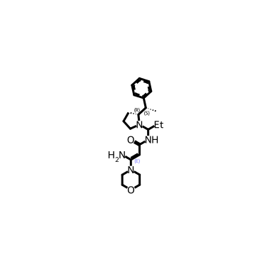 CCC(NC(=O)/C=C(\N)N1CCOCC1)N1CCC[C@@H]1[C@@H](C)c1ccccc1